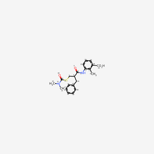 Cc1c(NC(=O)C(CSC(=O)N(C)C)Cc2ccccc2)cccc1C(=O)O